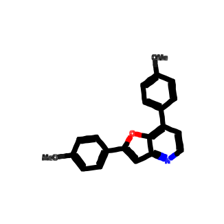 COc1ccc(-c2cc3nccc(-c4ccc(OC)cc4)c3o2)cc1